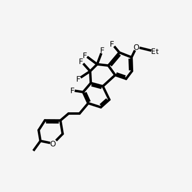 CCOc1ccc2c(c1F)C(F)(F)C(F)(F)c1c-2ccc(CCC2=CCC(C)OC2)c1F